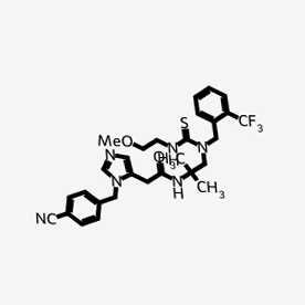 COCCNC(=S)N(Cc1ccccc1C(F)(F)F)CC(C)(C)NC(=O)Cc1cncn1Cc1ccc(C#N)cc1